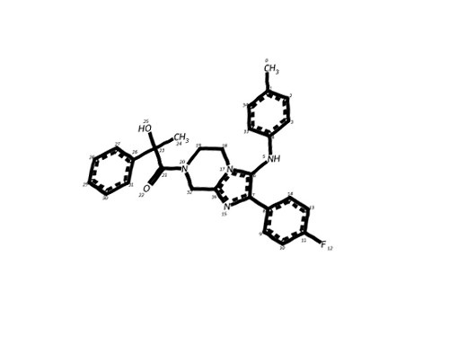 Cc1ccc(Nc2c(-c3ccc(F)cc3)nc3n2CCN(C(=O)C(C)(O)c2ccccc2)C3)cc1